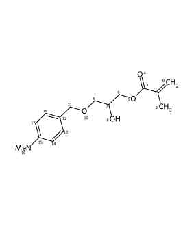 C=C(C)C(=O)OCC(O)COCc1ccc(NC)cc1